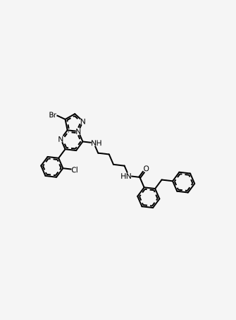 O=C(NCCCCNc1cc(-c2ccccc2Cl)nc2c(Br)cnn12)c1ccccc1Cc1ccccc1